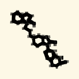 O=C1COc2ccc(N3C(=O)OC4CN(CCCn5c(=O)ccc6ccccc65)CCC43)nc2N1